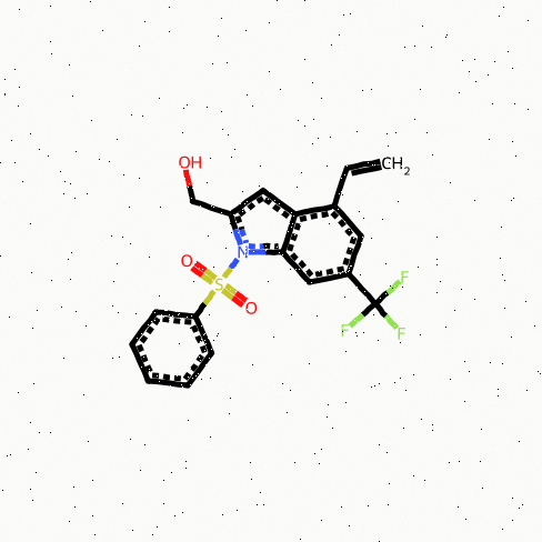 C=Cc1cc(C(F)(F)F)cc2c1cc(CO)n2S(=O)(=O)c1ccccc1